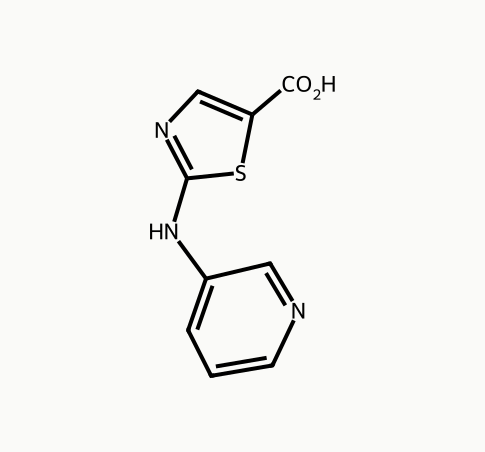 O=C(O)c1cnc(Nc2cccnc2)s1